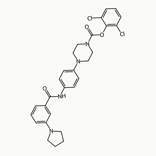 O=C(Nc1ccc(N2CCN(C(=O)Oc3c(Cl)cccc3Cl)CC2)cc1)c1cccc(N2CCCC2)c1